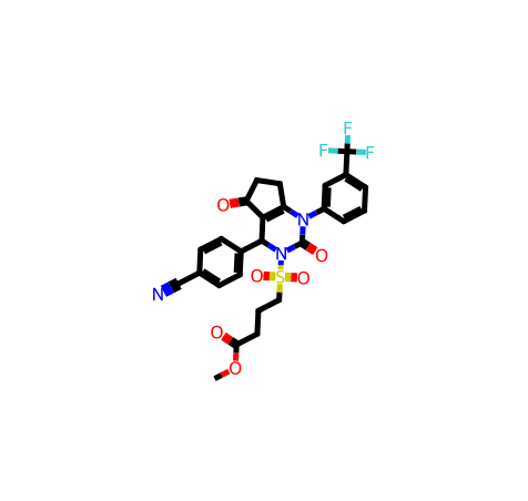 COC(=O)CCCS(=O)(=O)N1C(=O)N(c2cccc(C(F)(F)F)c2)C2=C(C(=O)CC2)C1c1ccc(C#N)cc1